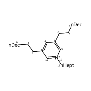 CCCCCCCCCCCCc1cc(CCCCCCCCCCCC)c[n+](CCCCCCC)c1